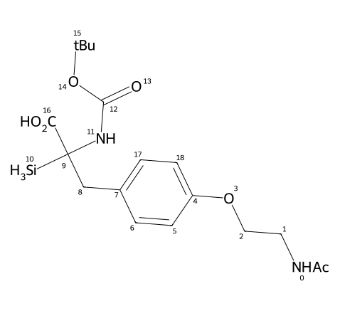 CC(=O)NCCOc1ccc(CC([SiH3])(NC(=O)OC(C)(C)C)C(=O)O)cc1